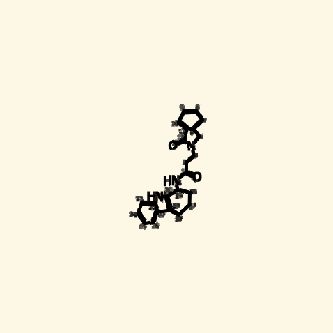 O=C(CCN1Cc2ccccc2C1=O)NC1CCCc2c1[nH]c1ccccc21